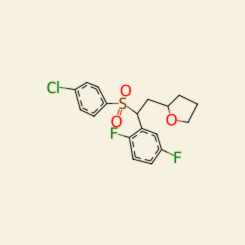 O=S(=O)(c1ccc(Cl)cc1)C(CC1CCCO1)c1cc(F)ccc1F